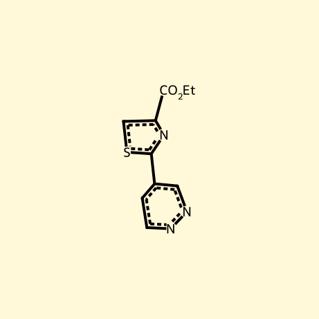 CCOC(=O)c1csc(-c2ccnnc2)n1